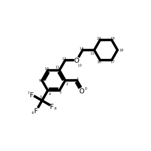 O=Cc1cc(C(F)(F)F)ccc1COCC1CCCCC1